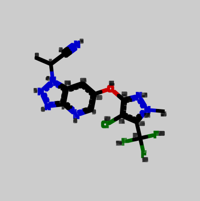 CC(C#N)n1nnc2ncc(Oc3nn(C)c(C(F)(F)F)c3Cl)cc21